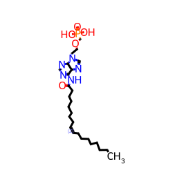 CCCCCCCC/C=C\CCCCCCCC(=O)NC1=NC=NC2C1N=CN2CCOCP(=O)(O)O